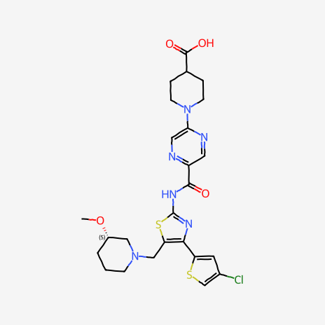 CO[C@H]1CCCN(Cc2sc(NC(=O)c3cnc(N4CCC(C(=O)O)CC4)cn3)nc2-c2cc(Cl)cs2)C1